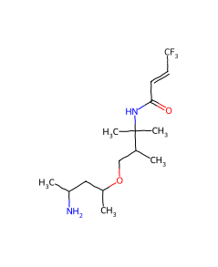 CC(N)CC(C)OCC(C)C(C)(C)NC(=O)C=CC(F)(F)F